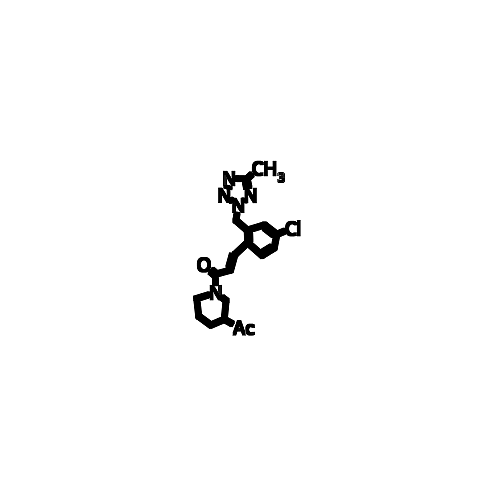 CC(=O)C1CCCN(C(=O)/C=C/c2ccc(Cl)cc2Cn2nnc(C)n2)C1